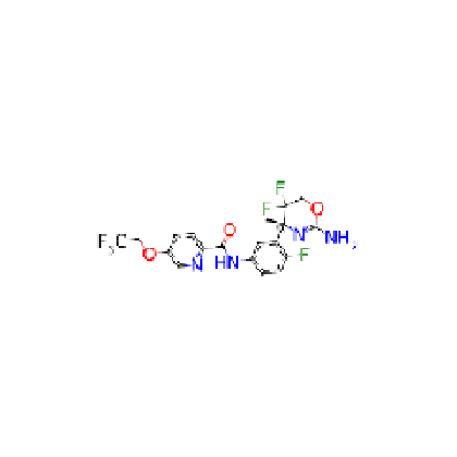 C[C@]1(c2cc(NC(=O)c3ccc(OCC(F)(F)F)cn3)ccc2F)N=C(N)OCC1(F)F